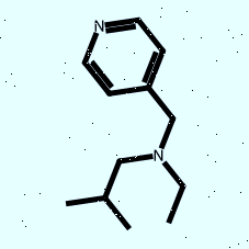 CCN(Cc1ccncc1)CC(C)C